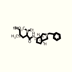 CCN(C(=O)O)C(C[C@H](C)CC(C)(C)C)C(=O)N[C@H]1CC[C@@H]2CN(Cc3ccccc3)C[C@@H]21